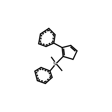 C[Si](C)(C1=C(c2ccccc2)C=CC1)c1ccccc1